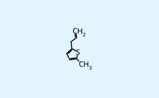 C=CCc1ccc(C)s1